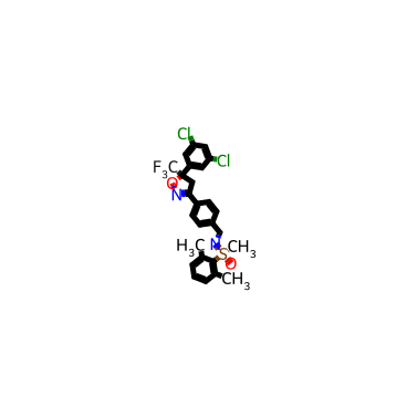 Cc1cccc(C)c1S(C)(=O)=NCc1ccc(C2=NOC(c3cc(Cl)cc(Cl)c3)(C(F)(F)F)C2)cc1